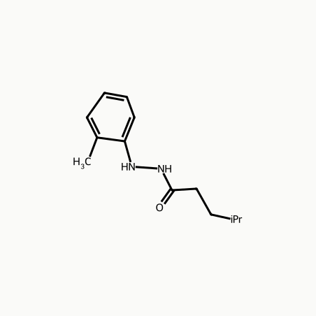 Cc1ccccc1NNC(=O)CCC(C)C